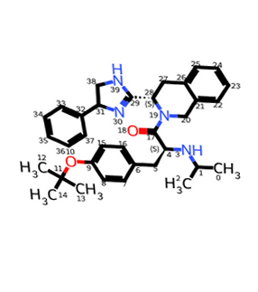 CC(C)N[C@@H](Cc1ccc(OC(C)(C)C)cc1)C(=O)N1Cc2ccccc2C[C@H]1C1=NC(c2ccccc2)CN1